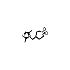 Cc1cnc(C)n1CC1CCS(=O)(=O)CC1